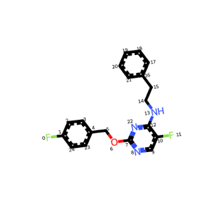 Fc1ccc(COc2ncc(F)c(NCCc3ccccc3)n2)cc1